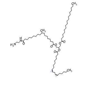 CCCCC/C=C\C/C=C\CCCCCCCC(=O)OC(COC(=O)CCCCCCCCCCCCCCCCC)COC(=O)CCCCCCCC(C)CCCCCCCCC(=O)NCCN